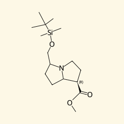 COC(=O)[C@@H]1CCN2C(CO[Si](C)(C)C(C)(C)C)CCC12